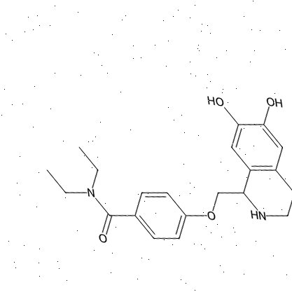 CCN(CC)C(=O)c1ccc(OCC2NCCc3cc(O)c(O)cc32)cc1